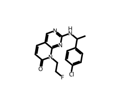 CC(Nc1ncc2ccc(=O)n(CCF)c2n1)c1ccc(Cl)cc1